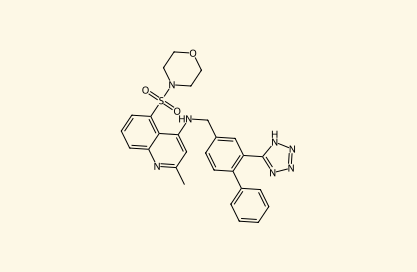 Cc1cc(NCc2ccc(-c3ccccc3)c(-c3nnn[nH]3)c2)c2c(S(=O)(=O)N3CCOCC3)cccc2n1